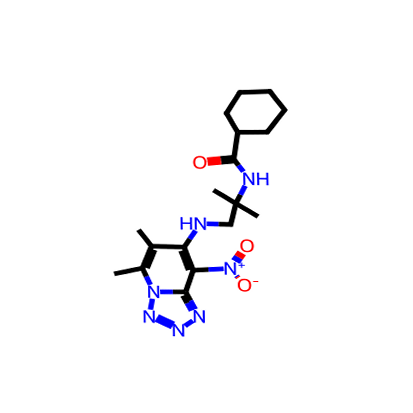 Cc1c(NCC(C)(C)NC(=O)C2CCCCC2)c([N+](=O)[O-])c2nnnn2c1C